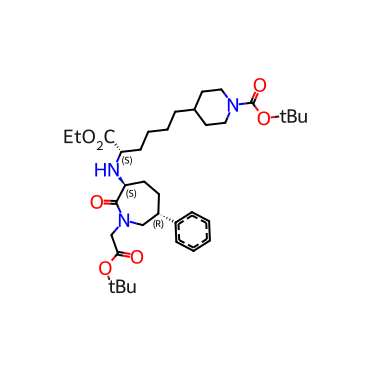 CCOC(=O)[C@H](CCCCC1CCN(C(=O)OC(C)(C)C)CC1)N[C@H]1CC[C@H](c2ccccc2)CN(CC(=O)OC(C)(C)C)C1=O